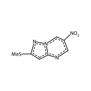 CSc1cc2ncc([N+](=O)[O-])cn2n1